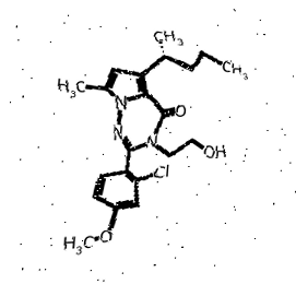 CCC[C@@H](C)c1cc(C)n2nc(-c3ccc(OC)cc3Cl)n(CCO)c(=O)c12